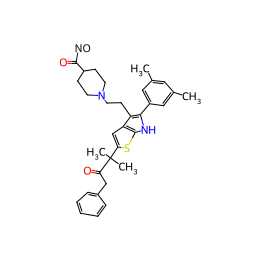 Cc1cc(C)cc(-c2[nH]c3sc(C(C)(C)C(=O)Cc4ccccc4)cc3c2CCN2CCC(C(=O)N=O)CC2)c1